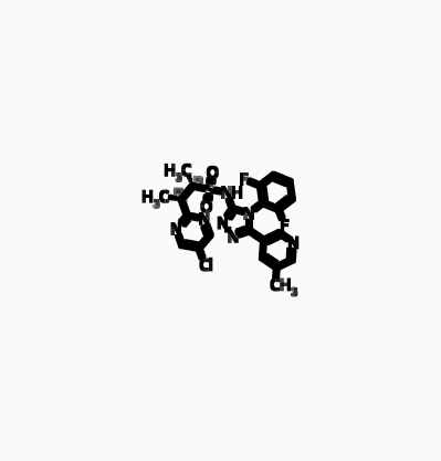 Cc1cncc(-c2nnc(NS(=O)(=O)[C@@H](C)[C@H](C)c3ncc(Cl)cn3)n2-c2c(F)cccc2F)c1